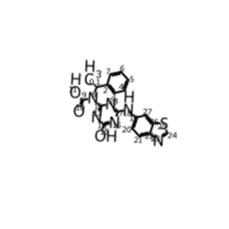 C[C@@H](c1ccccc1)N(C(=O)O)c1nc(O)nc(Nc2ccc3ncsc3c2)n1